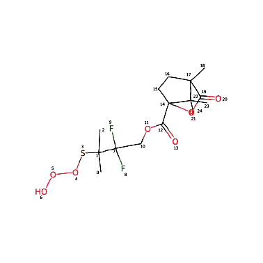 CC(C)(SOOO)C(F)(F)COC(=O)C12CCC(C)(C(=O)O1)C2(C)C